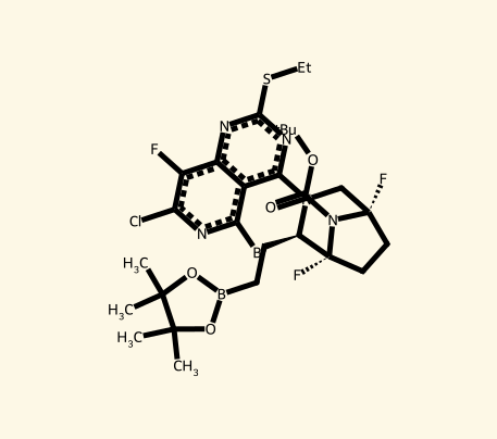 CCSc1nc(N2C[C@@]3(F)CC[C@@](F)([C@H]2CCB2OC(C)(C)C(C)(C)O2)N3C(=O)OC(C)(C)C)c2c(Br)nc(Cl)c(F)c2n1